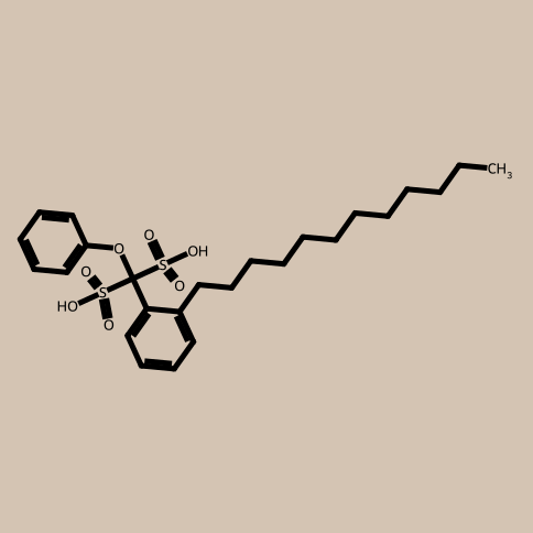 CCCCCCCCCCCCc1ccccc1C(Oc1ccccc1)(S(=O)(=O)O)S(=O)(=O)O